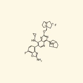 Nc1nc2c(-c3cnc4c(N5CC6CCC(C5)N6)nc(OC[C@@]56CCCN5C[C@H](F)C6)nc4c3NC3CC3)ccc(F)c2o1